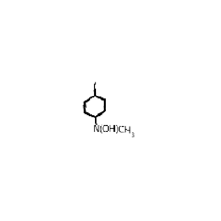 CN(O)C1CCC(I)CC1